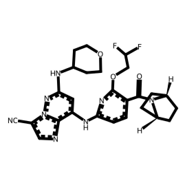 N#Cc1cnc2c(Nc3ccc(C(=O)N4[C@H]5CC[C@@H]4CC5)c(OCC(F)F)n3)cc(NC3CCOCC3)nn12